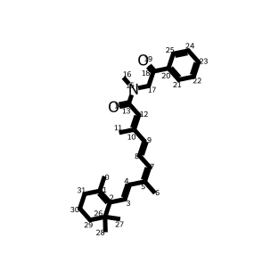 CC1=C(/C=C/C(C)=C\C=C\C(C)=C\C(=O)N(C)CC(=O)c2ccccc2)C(C)(C)CCC1